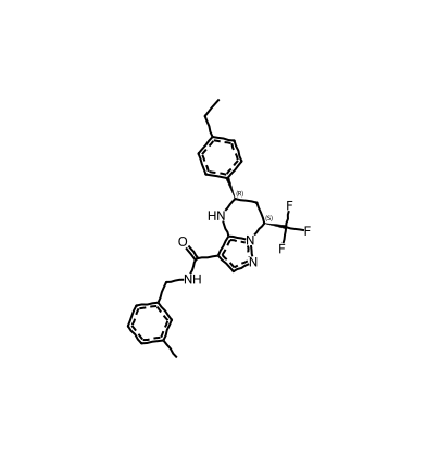 CCc1ccc([C@H]2C[C@@H](C(F)(F)F)n3ncc(C(=O)NCc4cccc(C)c4)c3N2)cc1